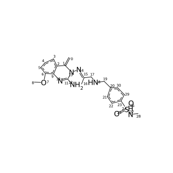 C=C1c2cccc(OC)c2N=C(N)N1/N=C(\C)CNCc1ccc(S(=O)(=O)NC)cc1